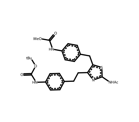 COC(=O)Nc1ccc(Cc2sc(NC(C)=O)nc2CCc2ccc(NC(=O)OC(C)(C)C)cc2)cc1